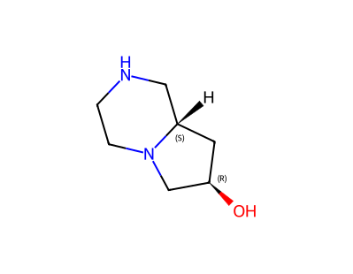 O[C@@H]1C[C@H]2CNCCN2C1